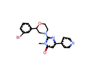 Cn1c(N2CCOC(c3cccc(Br)c3)C2)nc(-c2ccncc2)cc1=O